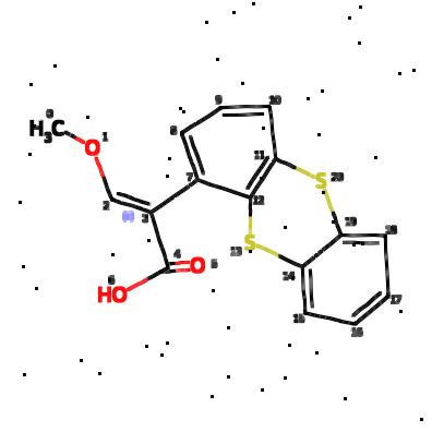 CO/C=C(/C(=O)O)c1cccc2c1Sc1ccccc1S2